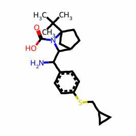 CC(C)(C)C12CCC(C1)C(C(N)c1ccc(SCC3CC3)cc1)N2C(=O)O